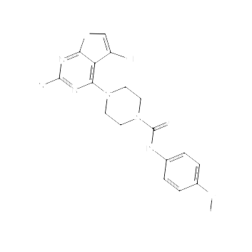 COc1ccc(NC(=O)N2CCN(c3nc(N)nc4scc(C)c34)CC2)cc1